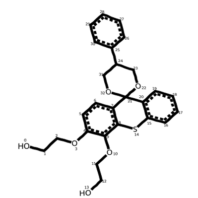 OCCOc1ccc2c(c1OCCO)Sc1ccccc1C21OCC(c2ccccc2)CO1